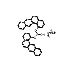 B.OB(Oc1cccc2ccc3cc4ccccc4cc3c12)Oc1cccc2ccc3cc4ccccc4cc3c12.[KH].[NaH]